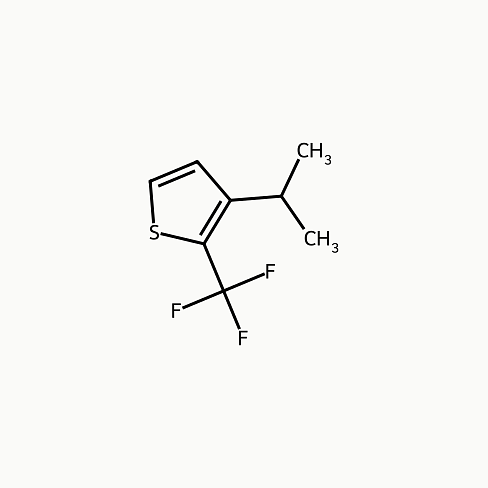 CC(C)c1ccsc1C(F)(F)F